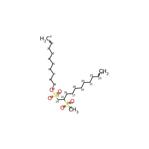 C=CCCCCCCCCOS(=O)(=O)CC(CCCCCCCC=C)S(C)(=O)=O